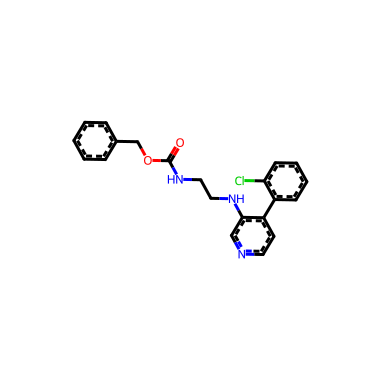 O=C(NCCNc1cnccc1-c1ccccc1Cl)OCc1ccccc1